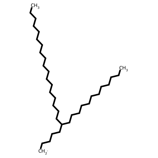 [CH2]CCCCC(CCCCCCCCCCCC)CCCCCCCCCCCCCCCCCC